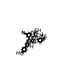 COC(=O)C1=C(C)N(c2cccc(C(F)(F)F)c2)c2n[nH]c(=O)n2[C@@H]1c1ccc(C#N)cc1CC[n+]1ccn(-c2ccc(O)cc2)c1